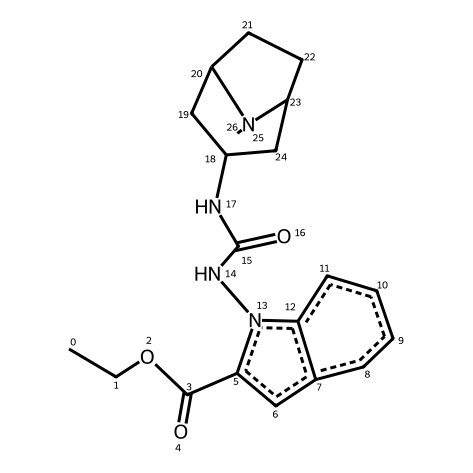 CCOC(=O)c1cc2ccccc2n1NC(=O)NC1CC2CCC(C1)N2C